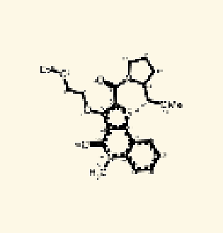 CCOCCOc1c(C(=O)N2CCCC2COC)sc2c1c(=O)n(C)c1ccccc21